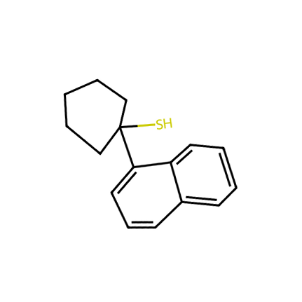 SC1(c2cccc3ccccc23)CCCCC1